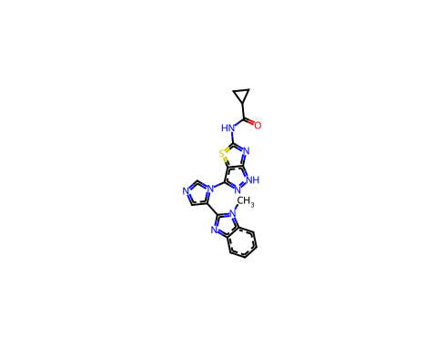 Cn1c(-c2cncn2-c2n[nH]c3nc(NC(=O)C4CC4)sc23)nc2ccccc21